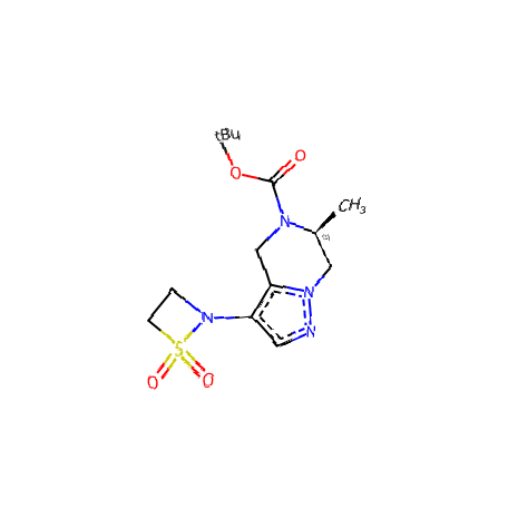 C[C@H]1Cn2ncc(N3CCS3(=O)=O)c2CN1C(=O)OC(C)(C)C